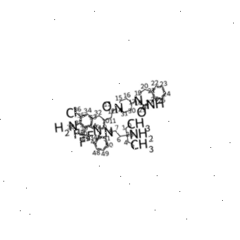 CCC(N)(CC)CCn1c(C(CC(=O)N2CCC(N3CCc4ccccc4NC3=O)CC2)Cc2cc(Cl)c(N)c(C(F)(F)F)c2)nc2ccccc21